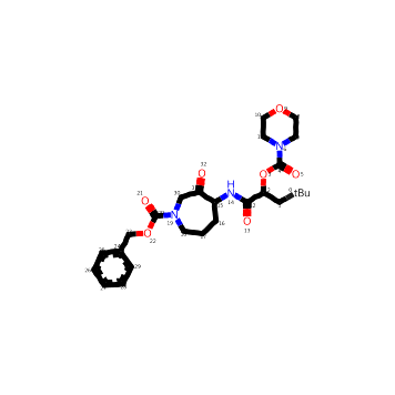 CC(C)(C)CC(OC(=O)N1CCOCC1)C(=O)NC1CCCN(C(=O)OCc2ccccc2)CC1=O